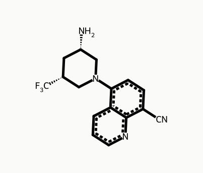 N#Cc1ccc(N2C[C@@H](N)C[C@@H](C(F)(F)F)C2)c2cccnc12